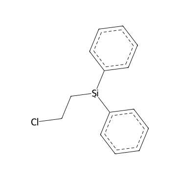 ClCC[Si](c1ccccc1)c1ccccc1